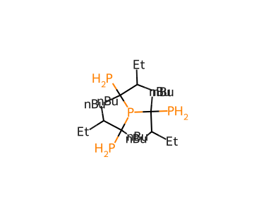 CCCCC(CC)C(P)(CCCC)P(C(P)(CCCC)C(CC)CCCC)C(P)(CCCC)C(CC)CCCC